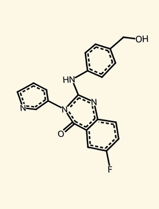 O=c1c2cc(F)ccc2nc(Nc2ccc(CO)cc2)n1-c1cccnc1